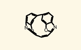 c1cc2nc3ccc(cc3o2)c2ccc3nc1oc3c2